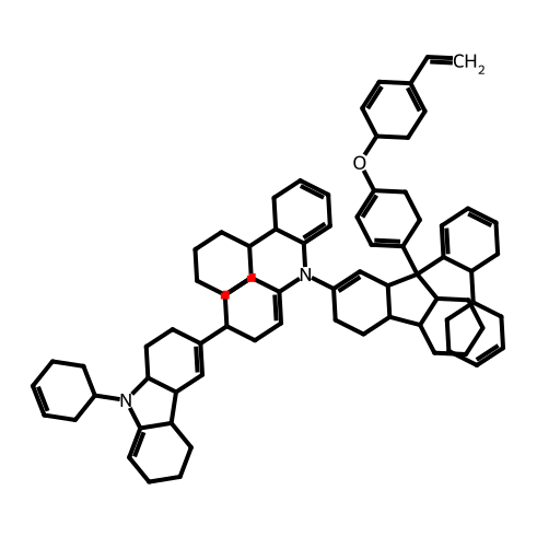 C=CC1=CCC(OC2=CC=C(C3(C4=CC=CCC4C4CC=CCC4)C4C=C(N(C5=CCC(C6=CC7C8CCCC=C8N(C8CC=CCC8)C7CC6)CC5)C5=CC=CCC5C5CCCCC5)CCC4C4CCCCC43)CC2)C=C1